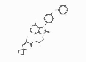 C[C@@H](Cn1c(=O)n(-c2ccc(Oc3ccccc3)cc2)c2c(N)ncnc21)NC(=O)/C(C#N)=C\C1(C)COC1